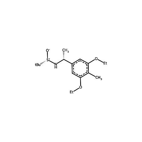 CCOc1cc([C@@H](C)N[S@@+]([O-])C(C)(C)C)cc(OCC)c1C